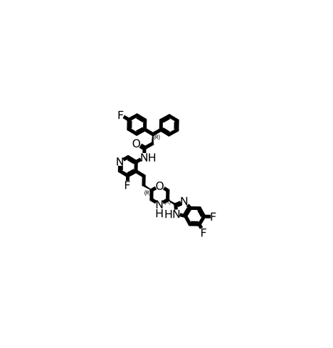 O=C(C[C@H](c1ccccc1)c1ccc(F)cc1)Nc1cncc(F)c1CC[C@@H]1CN[C@H](c2nc3cc(F)c(F)cc3[nH]2)CO1